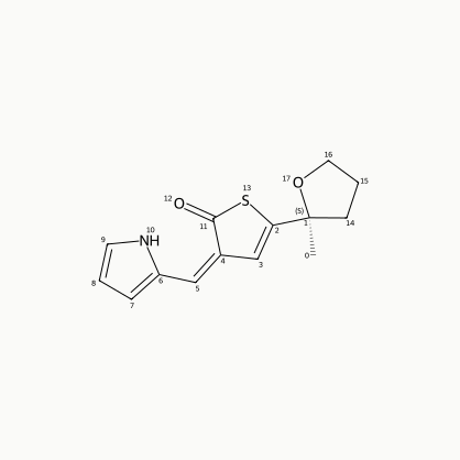 C[C@@]1(C2=CC(=Cc3ccc[nH]3)C(=O)S2)CCCO1